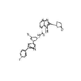 O=C1CC[C@H](c2nc3ncnc(C(=O)NCc4cc(F)cc(-c5cnn(-c6ccc(F)cc6)c5)c4)c3[nH]2)C1